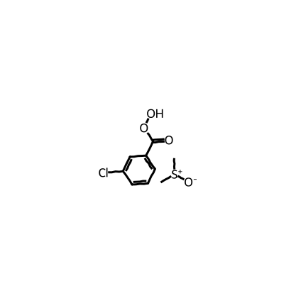 C[S+](C)[O-].O=C(OO)c1cccc(Cl)c1